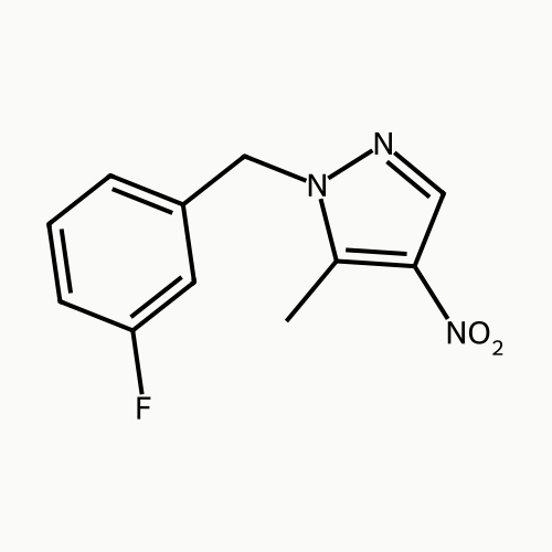 Cc1c([N+](=O)[O-])cnn1Cc1cccc(F)c1